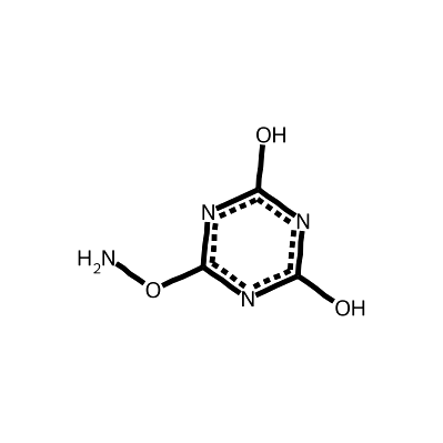 NOc1nc(O)nc(O)n1